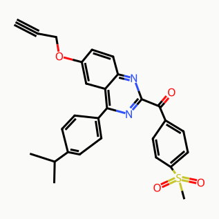 C#CCOc1ccc2nc(C(=O)c3ccc(S(C)(=O)=O)cc3)nc(-c3ccc(C(C)C)cc3)c2c1